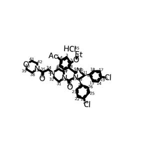 CCOc1cc(C(C)=O)ccc1C1=N[C@@H](c2ccc(Cl)cc2)[C@@H](c2ccc(Cl)cc2)N1C(=O)N1CCN(CC(=O)N2CCOCC2)CC1.Cl